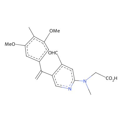 C=C(c1cc(OC)c(C)c(OC)c1)c1cnc(N(C)CC(=O)O)cc1C=O